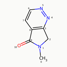 CN1Cc2nnccc2C1=O